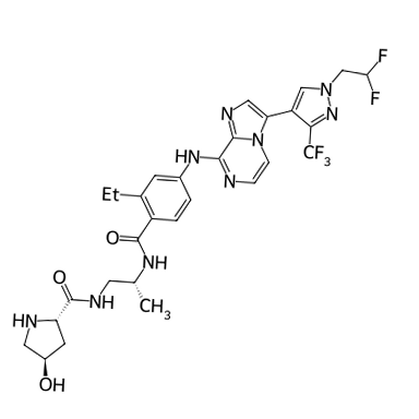 CCc1cc(Nc2nccn3c(-c4cn(CC(F)F)nc4C(F)(F)F)cnc23)ccc1C(=O)N[C@H](C)CNC(=O)[C@@H]1C[C@@H](O)CN1